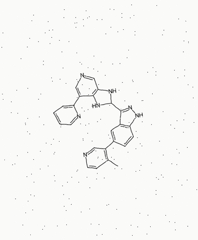 Cc1ccncc1-c1ccc2[nH]nc(C3Nc4cncc(-c5ccccn5)c4N3)c2c1